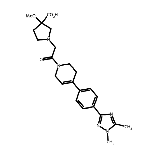 COC1(C(=O)O)CCN(CC(=O)N2CC=C(c3ccc(-c4nc(C)n(C)n4)cc3)CC2)C1